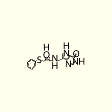 O=c1[nH]cnc2c(CNC[C@H](O)CSc3ccccc3)c[nH]c12